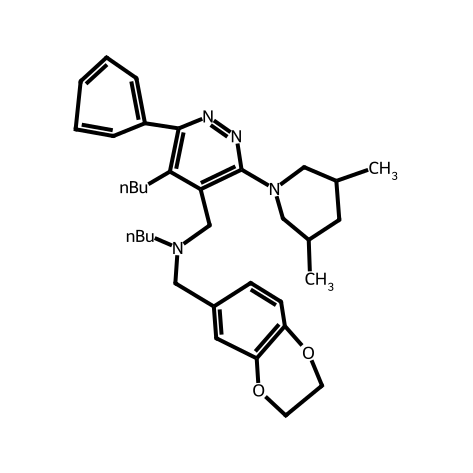 CCCCc1c(-c2ccccc2)nnc(N2CC(C)CC(C)C2)c1CN(CCCC)Cc1ccc2c(c1)OCCO2